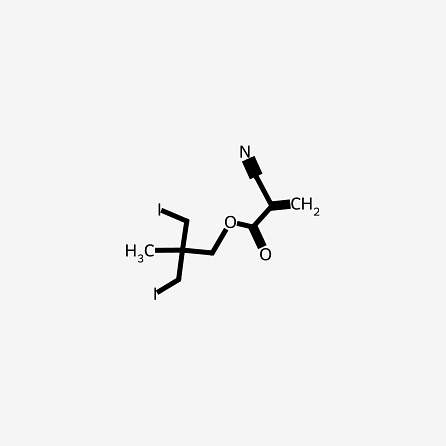 C=C(C#N)C(=O)OCC(C)(CI)CI